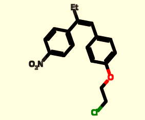 CC/C(=C/c1ccc(OCCCl)cc1)c1ccc([N+](=O)[O-])cc1